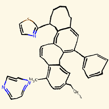 Cc1cc(C)c2ccc3c4c(cc(-c5ccccc5)c3c2c1)CCCC4c1nccs1.c1cnccn1